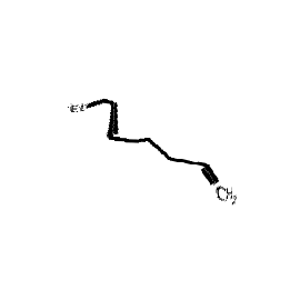 C=CCCC=C[CH]C